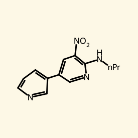 CCCNc1ncc(-c2cccnc2)cc1[N+](=O)[O-]